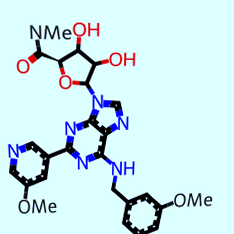 CNC(=O)[C@@H]1OC(n2cnc3c(NCc4cccc(OC)c4)nc(-c4cncc(OC)c4)nc32)C(O)C1O